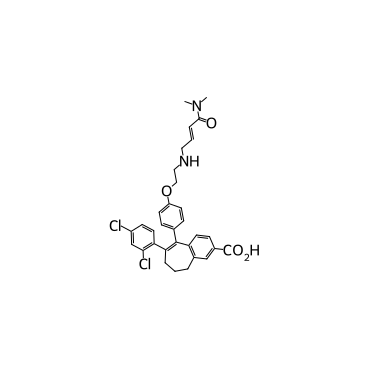 CN(C)C(=O)C=CCNCCOc1ccc(C2=C(c3ccc(Cl)cc3Cl)CCCc3cc(C(=O)O)ccc32)cc1